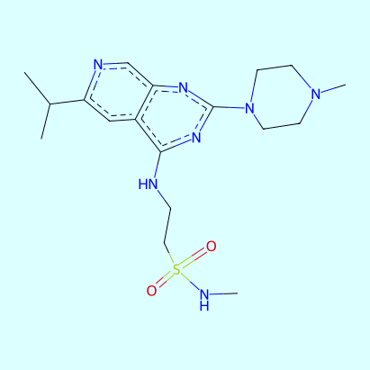 CNS(=O)(=O)CCNc1nc(N2CCN(C)CC2)nc2cnc(C(C)C)cc12